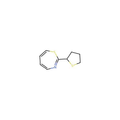 C1=CN=C(C2CCCS2)SC=C1